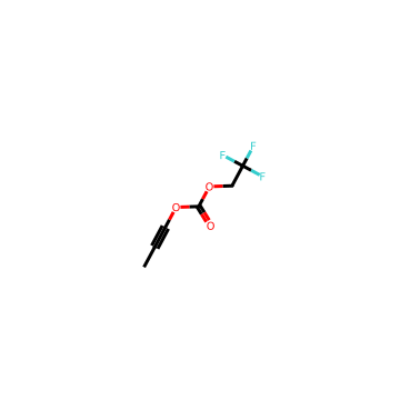 CC#COC(=O)OCC(F)(F)F